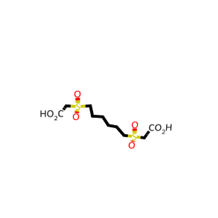 O=C(O)CS(=O)(=O)CCCCCCS(=O)(=O)CC(=O)O